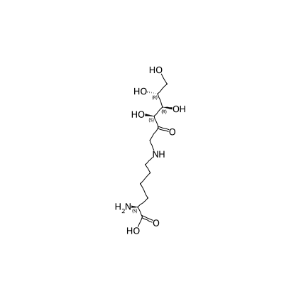 N[C@@H](CCCCNCC(=O)[C@@H](O)[C@H](O)[C@H](O)CO)C(=O)O